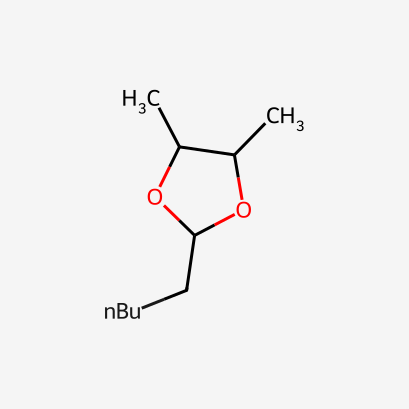 CCCCCC1OC(C)C(C)O1